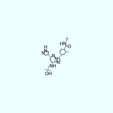 Cc1cc(-c2cnc3c(NCC(C)(C)O)cc(-c4cn[nH]c4)nn23)ccc1C(=O)NC1CC1